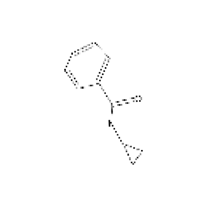 O=C([N]C1CC1)c1ccccc1